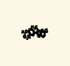 Cc1ccc(-c2nc3ccc(Cl)nn3c2C)cc1[N+](=O)[O-]